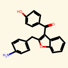 Nc1ccc(Cc2oc3ccccc3c2C(=O)c2ccc(O)cc2)cc1